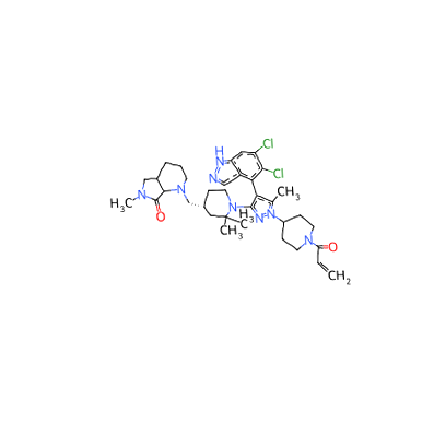 C=CC(=O)N1CCC(n2nc(N3CC[C@@H](CN4CCCC5CN(C)C(=O)C54)CC3(C)C)c(-c3c(Cl)c(Cl)cc4[nH]ncc34)c2C)CC1